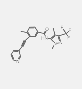 Cc1ccc(C(=O)Nc2c(C)c(C(F)(F)F)nn2C)cc1C#Cc1cccnc1